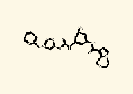 O=C([N-]c1c[n+](Cc2ccccn2)no1)Nc1cc(NC(=O)c2ccn3c2COCC3)cc(C(F)(F)F)c1